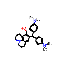 CCN(CC)c1ccc(C(c2ccc(N(CC)CC)cc2)c2cc3c4c(c2CO)CCCN4CCC3)cc1